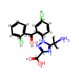 CC(C)(N)c1nc(C(=O)O)nn1-c1ccc(Cl)cc1C(=O)c1ccccc1Cl